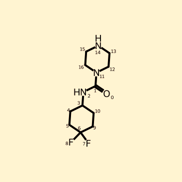 O=C(NC1CCC(F)(F)CC1)N1CCNCC1